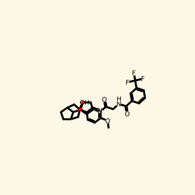 COc1ccc(C2(O)CC3CCC(C2)C3N2CC[C@@H](NC(=O)CNC(=O)c3cccc(C(F)(F)F)c3)C2)cn1